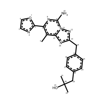 Cc1c(-c2ncco2)nc(N)n2nc(Cc3ccc(CC(C)(C)O)cc3)nc12